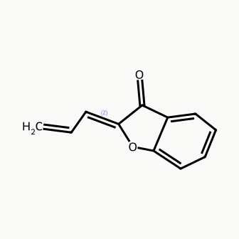 C=C/C=C1\Oc2ccccc2C1=O